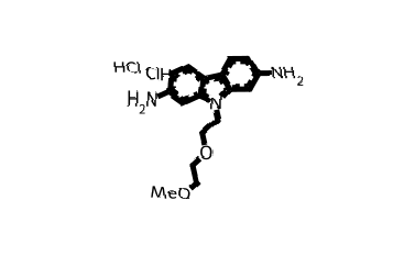 COCCOCCn1c2cc(N)ccc2c2ccc(N)cc21.Cl.Cl